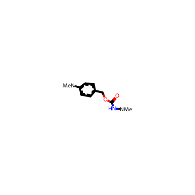 CNNC(=O)OCc1ccc(NC)cc1